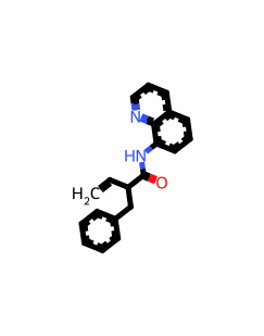 C=CC(Cc1ccccc1)C(=O)Nc1cccc2cccnc12